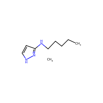 C.CCCCCNc1cc[nH]n1